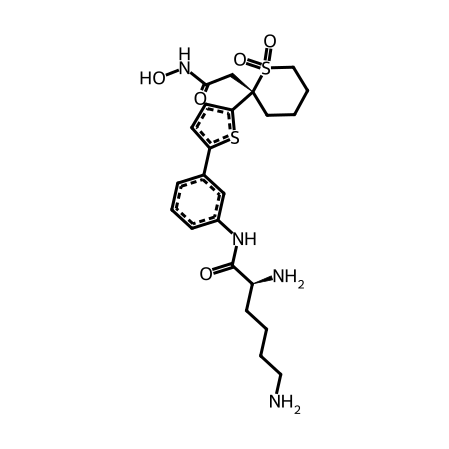 NCCCC[C@H](N)C(=O)Nc1cccc(-c2ccc([C@@]3(CC(=O)NO)CCCCS3(=O)=O)s2)c1